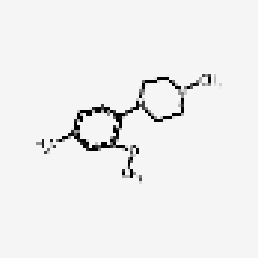 CN1CCN(c2ccc(N)cc2OC(F)(F)F)CC1